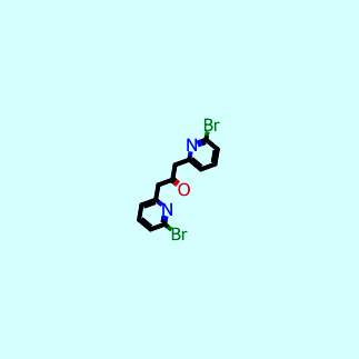 O=C(Cc1cccc(Br)n1)Cc1cccc(Br)n1